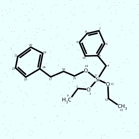 CCO[Si](Cc1ccccc1)(OCC)OCCCc1ccccc1